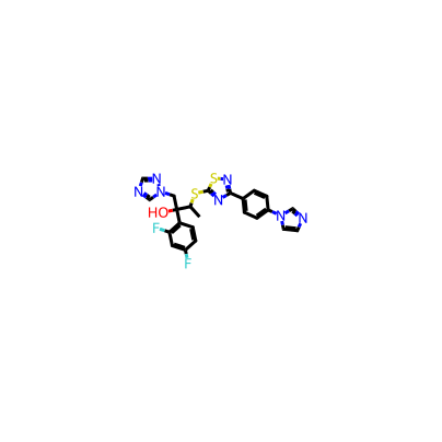 CC(Sc1nc(-c2ccc(-n3ccnc3)cc2)ns1)C(O)(Cn1cncn1)c1ccc(F)cc1F